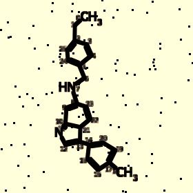 CCc1ccc(CNC2=CC3=NC=C(c4ccc(C)cc4)C3C=C2)cc1